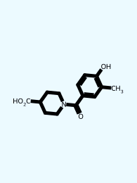 Cc1cc(C(=O)N2CCC(C(=O)O)CC2)ccc1O